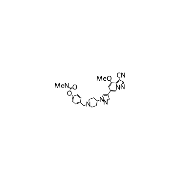 CNC(=O)Oc1ccc(CN2CCC(n3cc(-c4cc(OC)c5c(C#N)cnn5c4)cn3)CC2)cc1